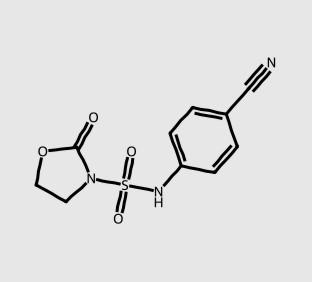 N#Cc1ccc(NS(=O)(=O)N2CCOC2=O)cc1